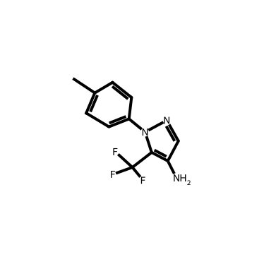 Cc1ccc(-n2ncc(N)c2C(F)(F)F)cc1